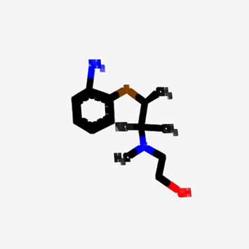 C[C@H](Sc1ccccc1N)C(C)(C#N)N(C)CCO